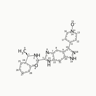 C[C@@H](NC(=O)c1nc2cc3c(-c4cc[n+]([O-])cc4)n[nH]c3cc2[nH]1)c1ccccc1